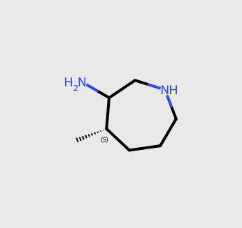 C[C@H]1CCCNCC1N